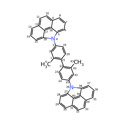 Cc1cc(-n2c3cccc4ccc5cccc2c5c43)ccc1-c1ccc(-n2c3cccc4ccc5cccc2c5c43)cc1C